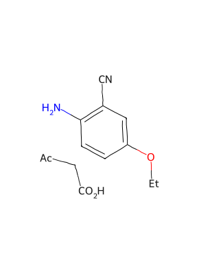 CC(=O)CC(=O)O.CCOc1ccc(N)c(C#N)c1